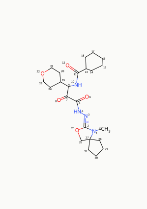 CN1/C(=N/NC(=O)C(=O)C(NC(=O)C2CCCCC2)C2CCOCC2)OCC12CCCC2